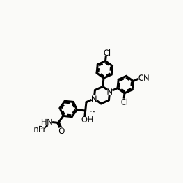 CCCNC(=O)c1cccc([C@](C)(O)CN2CCN(c3ccc(C#N)cc3Cl)C(c3ccc(Cl)cc3)C2)c1